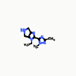 CCn1c(-c2nc(C)nn2C)nc2c1CNC2